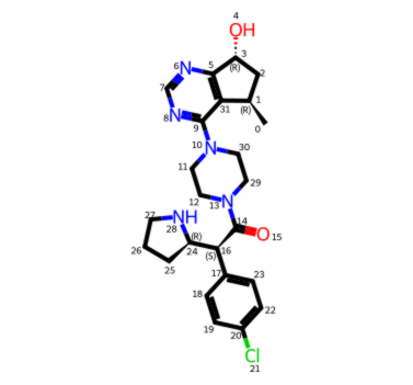 C[C@@H]1C[C@@H](O)c2ncnc(N3CCN(C(=O)[C@@H](c4ccc(Cl)cc4)[C@H]4CCCN4)CC3)c21